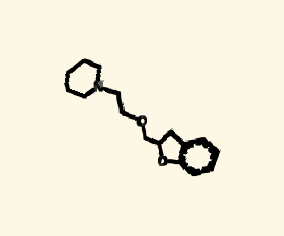 c1ccc2c(c1)CC(COCCN1CCCCC1)O2